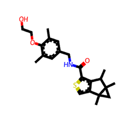 Cc1cc(CNC(=O)c2scc3c2C(C)C2(C)CC32C)cc(C)c1OCCO